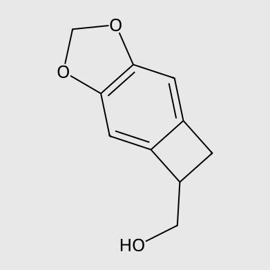 OCC1Cc2cc3c(cc21)OCO3